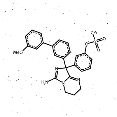 CCCS(=O)(=O)Oc1cccc(C2(c3cccc(-c4cccc(OC)c4)c3)N=C(N)N3CCCN=C32)c1